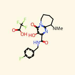 CNC1CCCCn2c1nc(C(=O)NCc1ccc(F)cc1)c(O)c2=O.O=C(O)C(F)(F)F